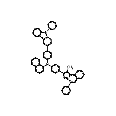 Cc1c(-c2ccc(N(c3ccc(-c4ccc5c(c4)c4ccccc4n5-c4ccccc4)cc3)c3cccc4ccccc34)cc2)nn2c(-c3ccccc3)cc3ccccc3c12